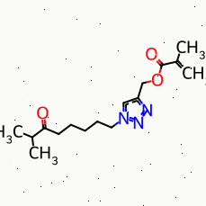 C=C(C)C(=O)OCc1cn(CCCCCC(=O)C(C)C)nn1